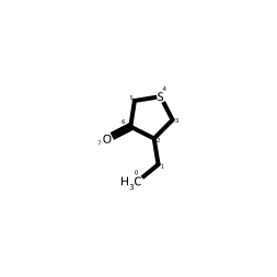 CCC1CSCC1=O